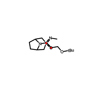 CN=S1(=O)CC2CCC(C1)N2CCCOC(C)(C)C